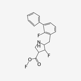 O=C(OF)C1CNC(Cc2cccc(-c3ccccc3)c2F)C1F